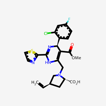 C=C[C@@H]1C[C@@H](C(=O)O)N(CC2=C(C(=O)OC)[C@H](c3ccc(F)cc3Cl)N=C(c3nccs3)N2)C1